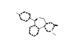 Cn1cc2c(cc1=O)CN=C(c1ccc(Cl)cc1)c1ccccc1-2